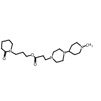 CN1CCC(N2CCN(CCC(=O)OCCCN3CCCCC3=O)CC2)CC1